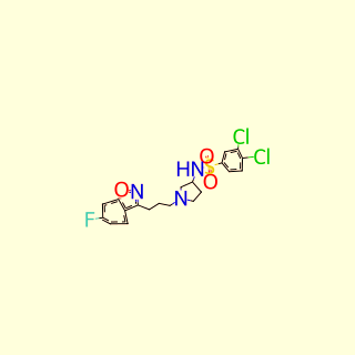 O=S(=O)(NC1CCN(CCCc2noc3cc(F)ccc23)C1)c1ccc(Cl)c(Cl)c1